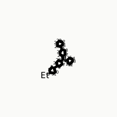 CCc1ccc(-c2ccc(N(c3ccccc3)c3ccc(-c4ccccc4)cc3)cc2)cc1